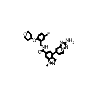 Cn1ncc2c(-c3ccn4nc(N)nc4c3)cc(C(=O)NCc3cc(F)ccc3OC3CCOCC3)cc21